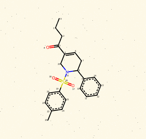 CCCC(=O)C1=CCC(c2ccccc2)N(S(=O)(=O)c2ccc(C)cc2)C1